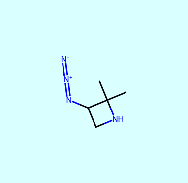 CC1(C)NCC1N=[N+]=[N-]